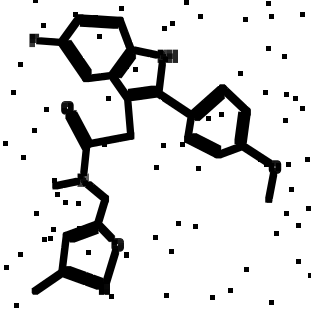 COc1ccc(-c2[nH]c3ccc(F)cc3c2CC(=O)N(C)Cc2cc(C)no2)cc1